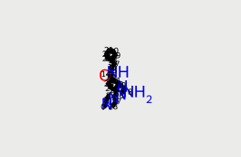 CN1CCN(c2nc(N)nc3cc(C(=O)NCCc4ccccc4)ccc23)CC1